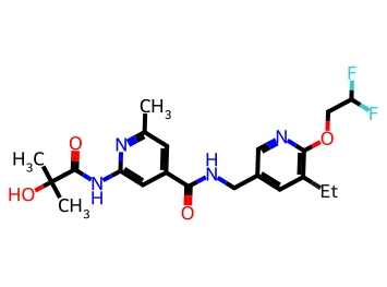 CCc1cc(CNC(=O)c2cc(C)nc(NC(=O)C(C)(C)O)c2)cnc1OCC(F)F